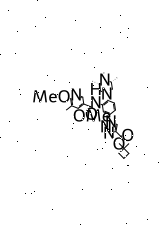 COc1ncc(C(=O)Nc2cc(-n3cc(C(=O)OC4(C)CCC4)nn3)ccc2N2C[C@@H](C)N(C)[C@@H](C)C2)c(OC)c1C